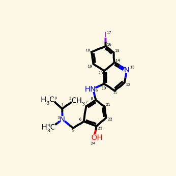 CC(C)N(C)Cc1cc(Nc2ccnc3cc(I)ccc23)ccc1O